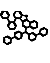 C1=c2oc3c(cc(N(c4ccc(-c5ccccc5)cc4)c4cccc(-c5ccccc5)c4)c4ccccc43)c2=C(c2ccccc2-c2ccccc2)CC1